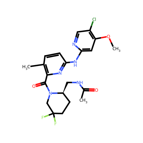 COc1cc(Nc2ccc(C)c(C(=O)N3CC(F)(F)CC[C@@H]3CNC(C)=O)n2)ncc1Cl